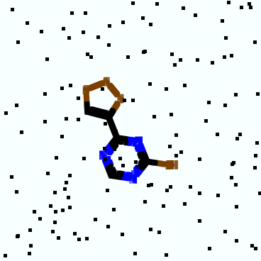 Sc1ncnc(C2=CSSS2)n1